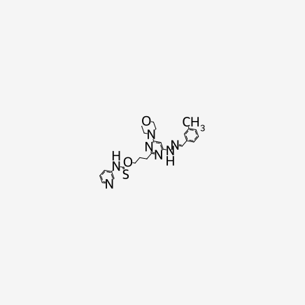 Cc1cccc(C=NNc2cc(N3CCOCC3)nc(CCCOC(=S)Nc3cccnc3)n2)c1